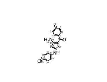 Cc1ccc(C(=O)c2sc(Nc3ccc(Cl)cc3)nc2N)cc1